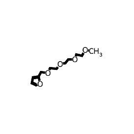 COCCOCCOCCOCc1ccco1